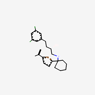 C=C(C)c1ccc(C2(NC[C@@H](O)CCc3cc(F)cc(F)c3)CCCCC2)s1